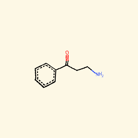 NCCC(=O)c1ccccc1